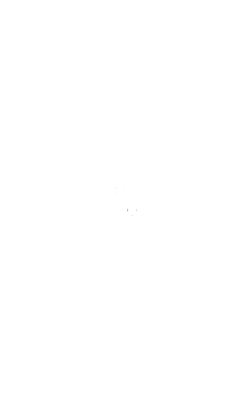 c1ccc2c(c1)CCC1(CCc3ccccc3O1)O2